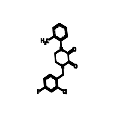 Cc1ccccc1N1CCN(Cc2ccc(F)cc2Cl)C(=O)C1=O